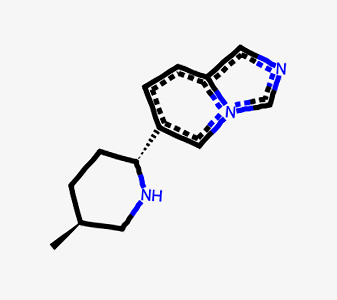 C[C@H]1CC[C@H](c2ccc3cncn3c2)NC1